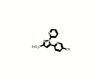 CCOC(=O)c1cc(-c2ccc(C#N)cn2)n(-c2ccccn2)n1